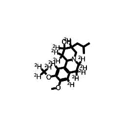 [2H]c1c(OC([2H])([2H])[2H])c(OC)c([2H])c2c1C1N(CC([2H])(CC(C)C)C([2H])(O)C1([2H])[2H])C([2H])([2H])C2([2H])[2H]